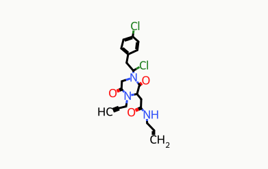 C#CCN1C(=O)CN(C(Cl)Cc2ccc(Cl)cc2)C(=O)C1CC(=O)NCC=C